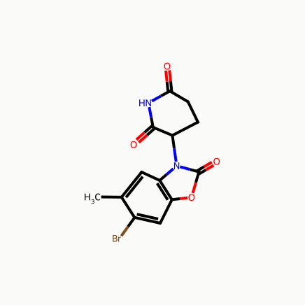 Cc1cc2c(cc1Br)oc(=O)n2C1CCC(=O)NC1=O